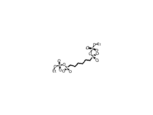 CCOS(=O)(=O)OS(=O)(=O)CCCCCCS(=O)(=O)OS(=O)(=O)OCC